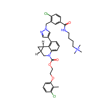 Cc1c(Cl)cccc1OCCOC(=O)N1C[C@@H]2C[C@@H]2c2c(-c3cnn(Cc4cc(C(=O)NCCCC[N+](C)(C)C)ccc4Cl)c3)cccc21